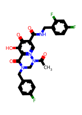 CC(=O)N1CN(Cc2ccc(F)cc2)C(=O)c2c(O)c(=O)c(C(=O)NCc3ccc(F)cc3F)cn21